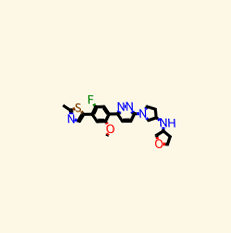 COc1cc(-c2cnc(C)s2)c(F)cc1-c1ccc(N2CCC(NC3CCOC3)C2)nn1